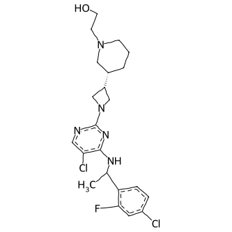 CC(Nc1nc(N2CC([C@H]3CCCN(CCO)C3)C2)ncc1Cl)c1ccc(Cl)cc1F